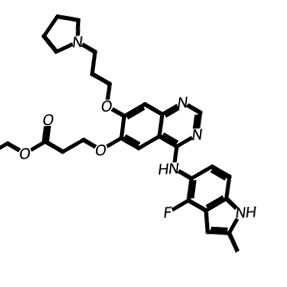 CCOC(=O)CCOc1cc2c(Nc3ccc4[nH]c(C)cc4c3F)ncnc2cc1OCCCN1CCCC1